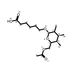 CC(=O)OCC1O[C@@H](OCCCCCC(=O)O)C(C)[C@@H](C)[C@H]1C